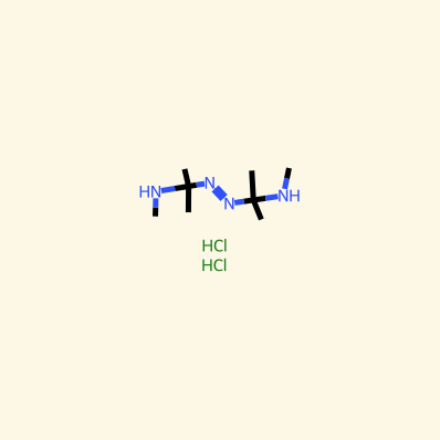 CNC(C)(C)N=NC(C)(C)NC.Cl.Cl